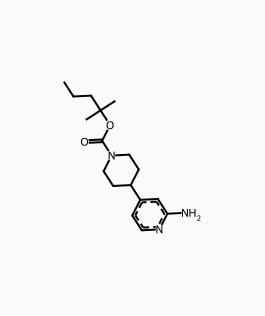 CCCC(C)(C)OC(=O)N1CCC(c2ccnc(N)c2)CC1